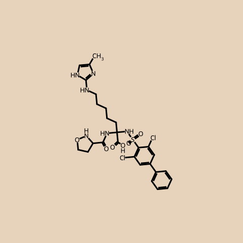 Cc1c[nH]c(NCCCCCC(NC(=O)C2CCON2)(NS(=O)(=O)c2c(Cl)cc(-c3ccccc3)cc2Cl)C(=O)O)n1